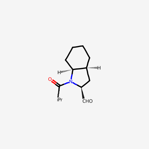 CC(C)C(=O)N1[C@H](C=O)C[C@@H]2CCCC[C@@H]21